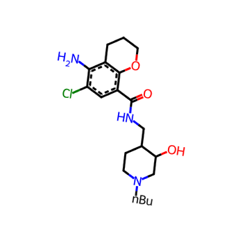 CCCCN1CCC(CNC(=O)c2cc(Cl)c(N)c3c2OCCC3)C(O)C1